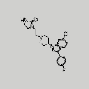 O=C1NCCN1CCN1CCC(n2cc(-c3ccc(F)cc3)c3ccc(Cl)cc32)CC1